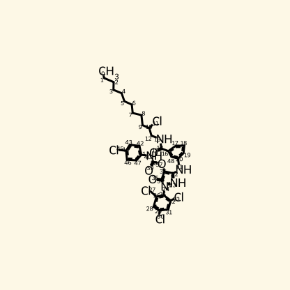 CCCCCCCCCCC(Cl)CNC(=O)c1cccc(Nc2[nH]n(-c3c(Cl)cc(Cl)cc3Cl)c(=O)c2OC(=O)Nc2ccc(Cl)cc2)c1